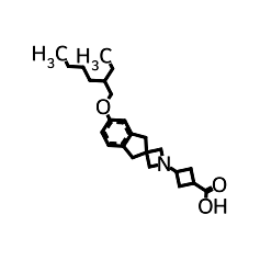 CCCCC(CC)COc1ccc2c(c1)CC1(C2)CN(C2CC(C(=O)O)C2)C1